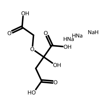 O=C(O)COC(O)(CC(=O)O)C(=O)O.[NaH].[NaH].[NaH]